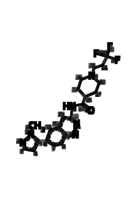 Cn1nccc1-c1ccc2nnc(NC(=O)C3CCN(CCC(F)(F)F)CC3)cc2c1